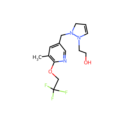 Cc1cc(CN2CC=CN2CCO)cnc1OCC(F)(F)F